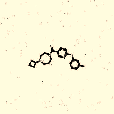 Cc1cccc(Oc2ccc(C(=O)N3CCCN(C4CCC4)CC3)cn2)c1